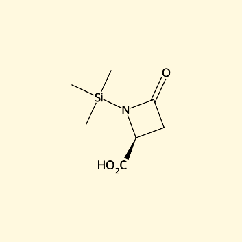 C[Si](C)(C)N1C(=O)C[C@H]1C(=O)O